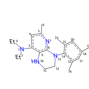 CCN(CC)c1cc(C)nc2c1NCCN2c1c(C)cc(C)cc1C